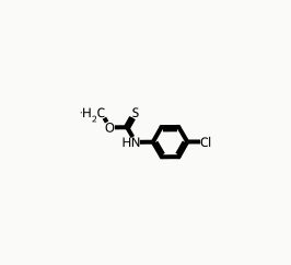 [CH2]OC(=S)Nc1ccc(Cl)cc1